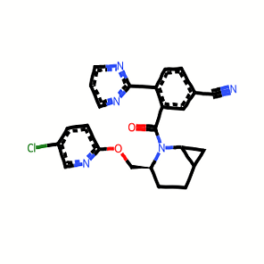 N#Cc1ccc(-c2ncccn2)c(C(=O)N2C3CC3CC[C@H]2COc2ccc(Cl)cn2)c1